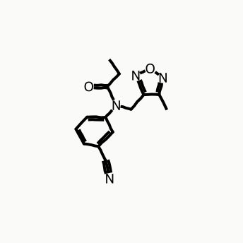 CCC(=O)N(Cc1nonc1C)c1cccc(C#N)c1